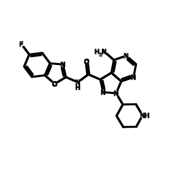 Nc1ncnc2c1c(C(=O)Nc1nc3cc(F)ccc3o1)nn2C1CCCNC1